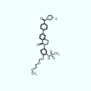 COCCOCOc1ccc(N2CCc3cc(-c4ccc(C(=O)N5CC[C@H](F)C5)cc4)ccc3C2=O)cc1NS(C)(=O)=O